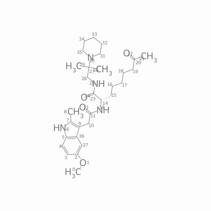 COc1ccc2[nH]c(C)c(CC(=O)N[C@@H](CCCCCC(C)=O)C(=O)NCC(C)(C)N3CCCCC3)c2c1